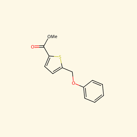 COC(=O)c1ccc(COc2ccccc2)s1